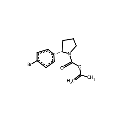 C=C(C)OC(=O)N1CCC[C@H]1c1ccc(Br)cc1